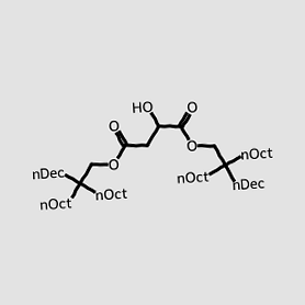 CCCCCCCCCCC(CCCCCCCC)(CCCCCCCC)COC(=O)CC(O)C(=O)OCC(CCCCCCCC)(CCCCCCCC)CCCCCCCCCC